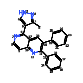 Cc1n[nH]cc1-c1nccc2nc(-c3cc[c]cc3)c(-c3ccccc3)cc12